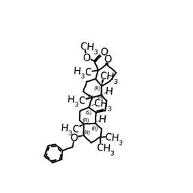 COC(=O)C1(C)C(=O)CC[C@@]2(C)C1CC[C@]1(C)[C@@H]2CC=C2[C@H]3CC(C)(C)C[C@@H](OCc4ccccc4)[C@]3(C)CC[C@]21C